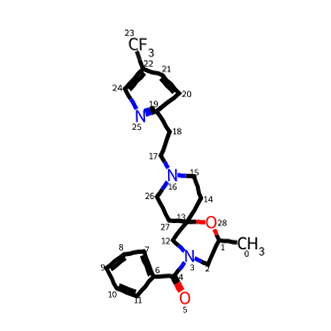 CC1CN(C(=O)c2ccccc2)CC2(CCN(CCc3ccc(C(F)(F)F)cn3)CC2)O1